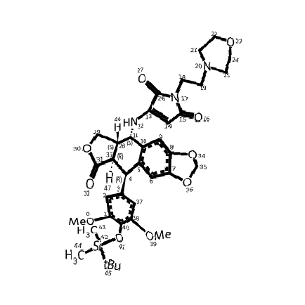 COc1cc([C@@H]2c3cc4c(cc3[C@@H](NC3=CC(=O)N(CCN5CCOCC5)C3=O)[C@H]3COC(=O)[C@H]23)OCO4)cc(OC)c1O[Si](C)(C)C(C)(C)C